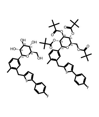 Cc1ccc([C@@H]2O[C@H](CO)[C@@H](O)[C@H](O)[C@H]2O)cc1Cc1ccc(-c2ccc(F)cc2)s1.Cc1ccc([C@@H]2O[C@H](COC(=O)C(C)(C)C)[C@@H](OC(=O)C(C)(C)C)[C@H](OC(=O)C(C)(C)C)[C@H]2OC(=O)C(C)(C)C)cc1Cc1ccc(-c2ccc(F)cc2)s1